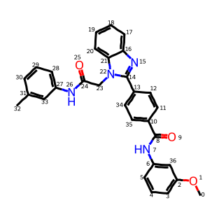 COc1cccc(NC(=O)c2ccc(-c3nc4ccccc4n3CC(=O)Nc3cccc(C)c3)cc2)c1